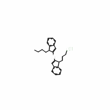 CCCCC1[C]([Zr+2][C]2=Cc3ccccc3C2CCCC)=Cc2ccccc21.[Cl-].[Cl-]